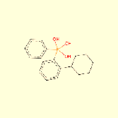 OP(O)(O)(c1ccccc1)c1ccccc1C1CCCCC1